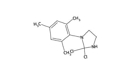 Cc1cc(C)c(N2CCNC2(Cl)Cl)c(C)c1